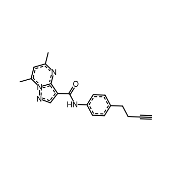 C#CCCc1ccc(NC(=O)c2cnn3c(C)cc(C)nc23)cc1